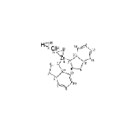 C1=CC2CC[CH]([Zr]3([CH]4CCC5C=CC=CC54)[CH2][CH2]3)C2C=C1.Cl.Cl